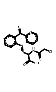 O=C(CCl)NC(/N=N/c1ccccc1C(=O)c1ccccn1)C(=O)O